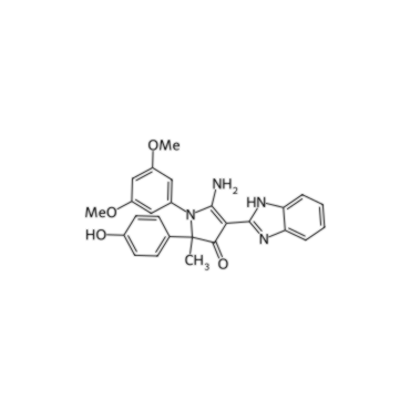 COc1cc(OC)cc(N2C(N)=C(c3nc4ccccc4[nH]3)C(=O)C2(C)c2ccc(O)cc2)c1